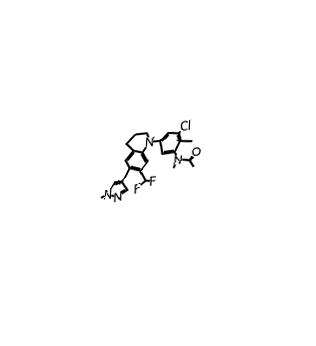 CC(=O)N(C)c1cc(N2CCCc3cc(-c4cnn(C)c4)c(C(F)F)cc32)cc(Cl)c1C